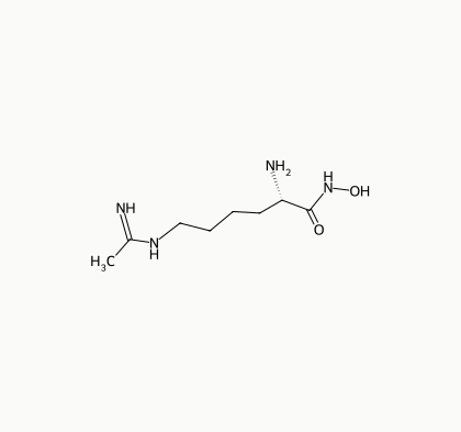 CC(=N)NCCCC[C@H](N)C(=O)NO